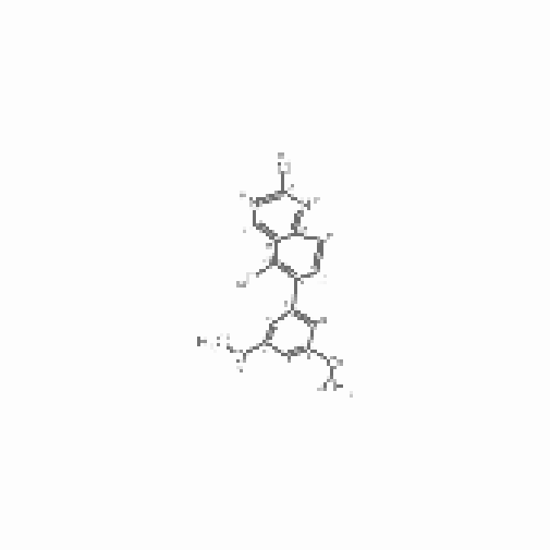 COc1cc(OC)cc(-c2ccc3nc(Cl)ncc3c2F)c1